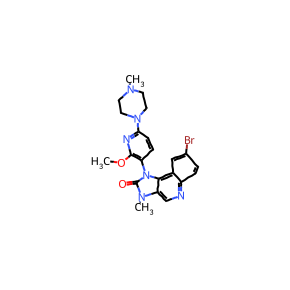 COc1nc(N2CCN(C)CC2)ccc1-n1c(=O)n(C)c2cnc3ccc(Br)cc3c21